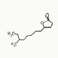 CCC(C)CCCCCC1=CCC(=O)O1